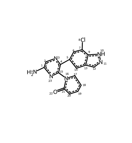 Nc1cnc(-c2cc(Cl)c3[nH]ncc3c2)c(-n2ccccc2=O)n1